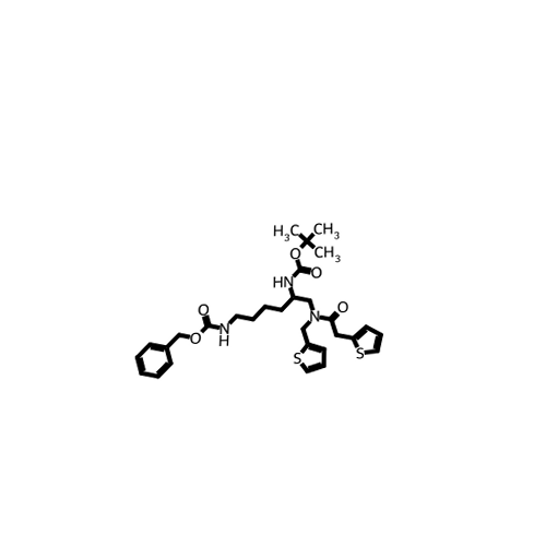 CC(C)(C)OC(=O)NC(CCCCNC(=O)OCc1ccccc1)CN(Cc1cccs1)C(=O)Cc1cccs1